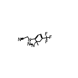 CC12CC(C(F)(F)F)=CC=C1N(CC#N)N=N2